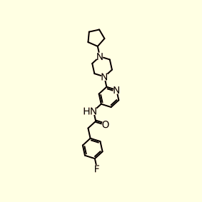 O=C(Cc1ccc(F)cc1)Nc1ccnc(N2CCN(C3CCCC3)CC2)c1